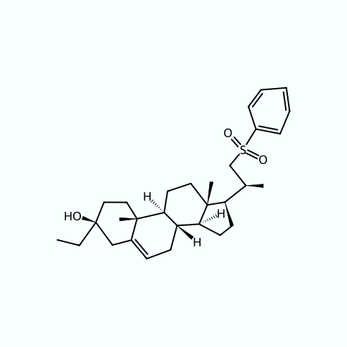 CC[C@]1(O)CC[C@@]2(C)C(=CC[C@H]3[C@@H]4CC[C@H]([C@H](C)CS(=O)(=O)c5ccccc5)[C@@]4(C)CC[C@@H]32)C1